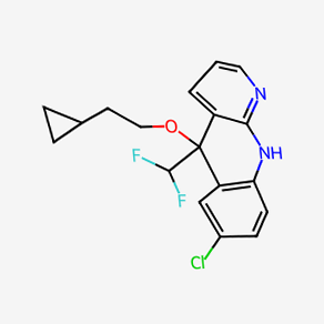 FC(F)C1(OCCC2CC2)c2cc(Cl)ccc2Nc2ncccc21